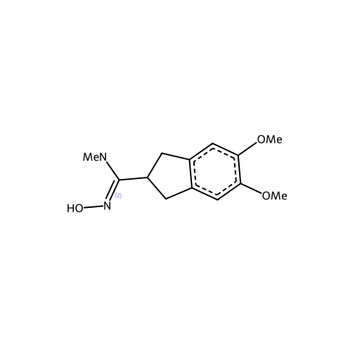 CN/C(=N\O)C1Cc2cc(OC)c(OC)cc2C1